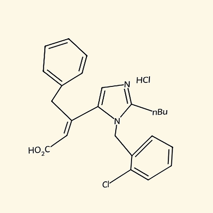 CCCCc1ncc(/C(=C/C(=O)O)Cc2ccccc2)n1Cc1ccccc1Cl.Cl